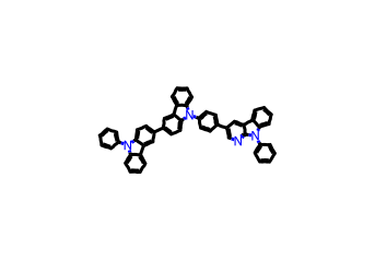 c1ccc(-n2c3ccccc3c3cc(-c4ccc5c(c4)c4ccccc4n5-c4ccc(-c5cnc6c(c5)c5ccccc5n6-c5ccccc5)cc4)ccc32)cc1